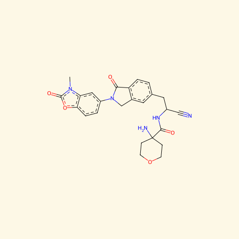 Cn1c(=O)oc2ccc(N3Cc4cc(CC(C#N)NC(=O)C5(N)CCOCC5)ccc4C3=O)cc21